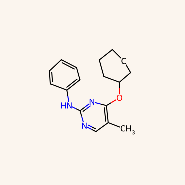 Cc1cnc(Nc2ccccc2)nc1OC1CCCCC1